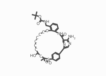 CC(C)(C)OC(=O)NCc1cccc2c1OCCCCCCC(O)CC(C)(C)S(=O)(=O)c1ccc(cc1)-c1cnc(N)c(n1)C(=O)N2